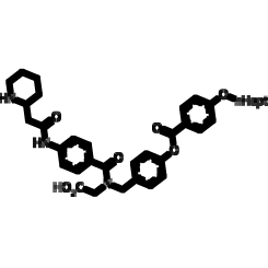 CCCCCCCOc1ccc(C(=O)Oc2ccc(CN(CC(=O)O)C(=O)c3ccc(NC(=O)CC4CCCCN4)cc3)cc2)cc1